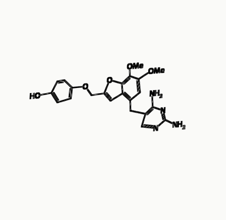 COc1cc(Cc2cnc(N)nc2N)c2cc(COc3ccc(O)cc3)oc2c1OC